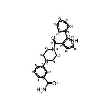 NC(=O)c1cccc(N2CCN(C(=O)c3cc[nH]c3-c3ccccc3)CC2)c1